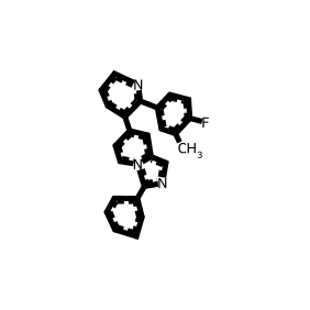 Cc1cc(-c2ncccc2-c2ccn3c(-c4ccccc4)ncc3c2)ccc1F